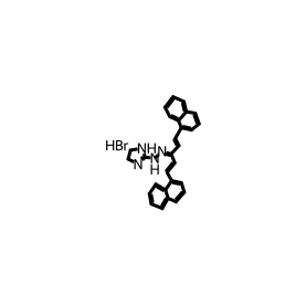 Br.C(=Cc1cccc2ccccc12)C(C=Cc1cccc2ccccc12)=NNC1=NCCN1